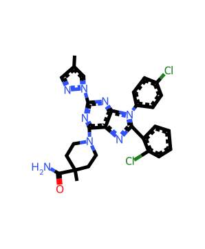 Cc1cnn(-c2nc(N3CCC(C)(C(N)=O)CC3)c3nc(-c4ccccc4Cl)n(-c4ccc(Cl)cc4)c3n2)c1